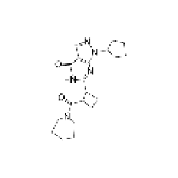 O=C(C1CCC1c1nc2c(cnn2C2CCCC2)c(=O)[nH]1)N1CCCCC1